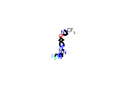 FC(F)Cn1ncc2ncc(N3CCC4(CC3)CC(Oc3ccc(C(F)(F)F)cn3)C4)nc21